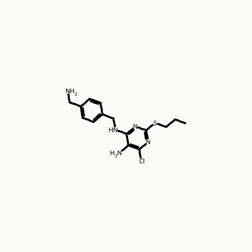 CCCSc1nc(Cl)c(N)c(NCc2ccc(CN)cc2)n1